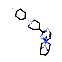 CN1CC2CCC(C1)N2c1ccnc(C2CCN([C@H]3CC[C@@H](C)CC3)CC2)n1